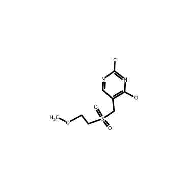 COCCS(=O)(=O)Cc1cnc(Cl)nc1Cl